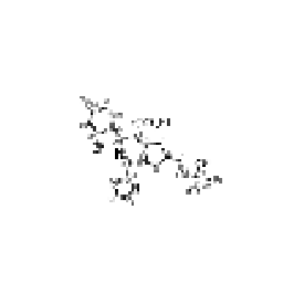 CCOC(=O)C1=C2CC(/C=N/S(=O)(=O)C(C)C)CN2C(c2nccs2)=N[C@H]1c1ccc(F)cc1Br